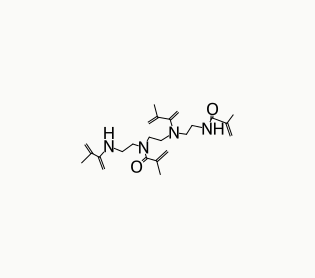 C=C(C)C(=C)NCCN(CCN(CCNC(=O)C(=C)C)C(=C)C(=C)C)C(=O)C(=C)C